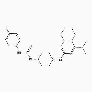 CN(C)c1nc(N[C@H]2CC[C@@H](NC(=S)Nc3ccc(I)cc3)CC2)nc2c1CCCC2